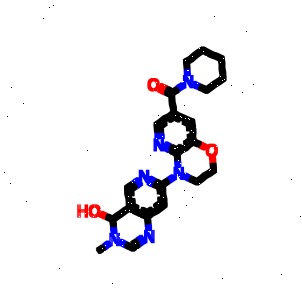 CN1C=Nc2cc(N3CCOc4cc(C(=O)N5CCCCC5)cnc43)ncc2C1O